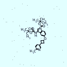 Cc1ccc(C2CC(Oc3ccc4c(c3)c(NC(=O)OC(C)(C)C)cn4C(=O)OC(C)(C)C)C2)cn1